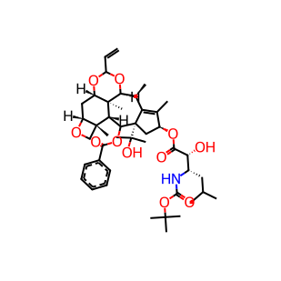 C=CC1O[C@H]2C[C@H]3OC[C@@]3(C)[C@H]3C(OC(=O)c4ccccc4)[C@]4(C(C)(C)O)C[C@H](OC(=O)[C@H](O)[C@H](CC(C)C)NC(=O)OC(C)(C)C)C(C)=C4[C@H](C)[C@H](O1)[C@]23C